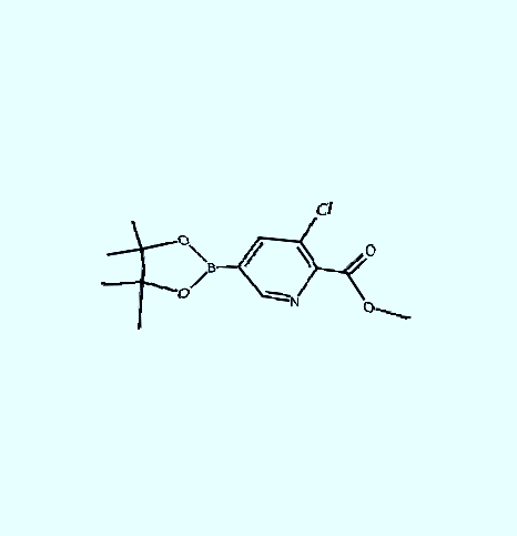 COC(=O)c1ncc(B2OC(C)(C)C(C)(C)O2)cc1Cl